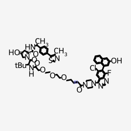 Cc1ncsc1-c1ccc(C(C)NC(=O)[C@@H]2C[C@@H](O)CN2C(=O)C(NC(=O)COCCOCCOCC/C=C/C(=O)N2CCN(c3ncnc4c(F)c(-c5cc(O)cc6ccccc56)c(Cl)cc34)CC2)C(C)(C)C)cc1